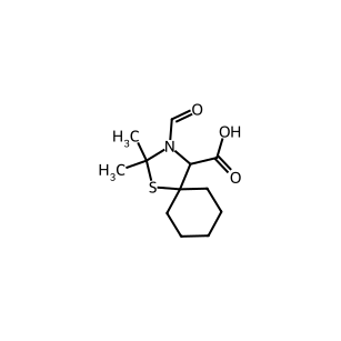 CC1(C)SC2(CCCCC2)C(C(=O)O)N1C=O